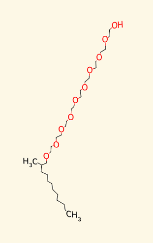 CCCCCCCCCCC(C)COCCOCCOCCOCCOCCOCCOCCOCCOCCO